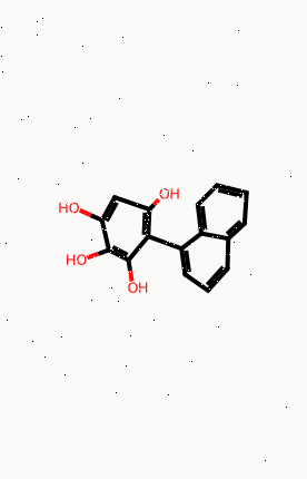 Oc1cc(O)c(-c2cccc3ccccc23)c(O)c1O